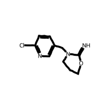 N=C1OCCCN1Cc1ccc(Cl)nc1